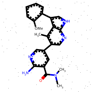 COc1ccccc1-c1c[nH]c2ncc(-c3cnc(N)c(C(=O)N(C)C)c3)c(C)c12